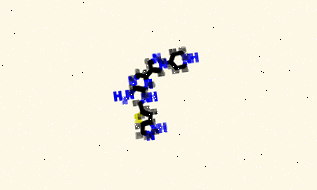 Nc1ncc(-c2cnn(C3CCNCC3)c2)nc1NCc1cc2[nH]ncc2s1